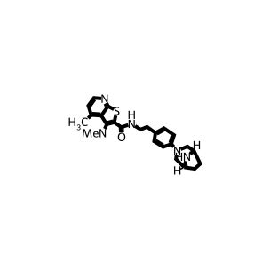 CNc1c(C(=O)NCCc2ccc(N3C[C@H]4CC[C@@H](C3)N4)cc2)sc2nccc(C)c12